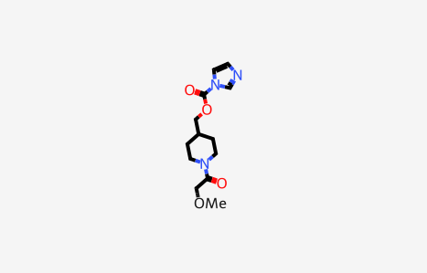 COCC(=O)N1CCC(COC(=O)n2ccnc2)CC1